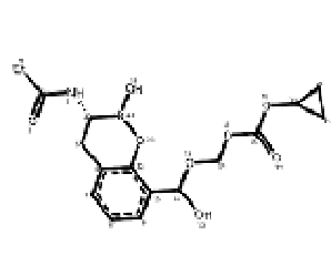 CCC(=O)N[C@H]1Cc2cccc(C(O)OCOC(=O)OC3CC3)c2OB1O